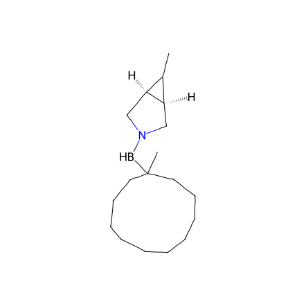 CC1[C@H]2CN(BC3(C)CCCCCCCCCC3)C[C@@H]12